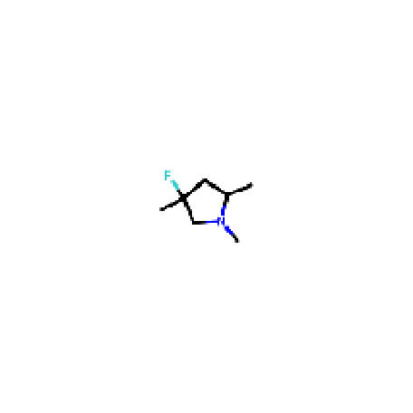 CC1CC(C)(F)CN1C